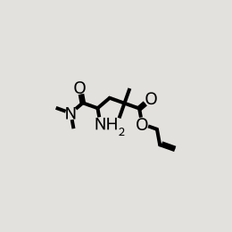 C=CCOC(=O)C(C)(C)CC(N)C(=O)N(C)C